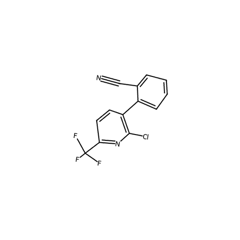 N#Cc1ccccc1-c1ccc(C(F)(F)F)nc1Cl